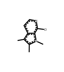 Cc1c(C)n(C)c2c(Cl)nccc12